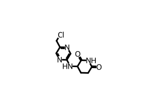 O=C1CCC(Nc2cnc(CCl)cn2)C(=O)N1